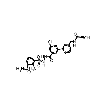 C#CC(=O)NCc1ccnc(-c2cc(C)cc(C(=O)NNS(=O)(=O)c3cccc(C(N)=O)c3C)c2)c1